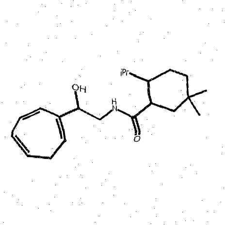 CC(C)C1CCC(C)(C)CC1C(=O)NCC(O)C1=CCC=CC=C1